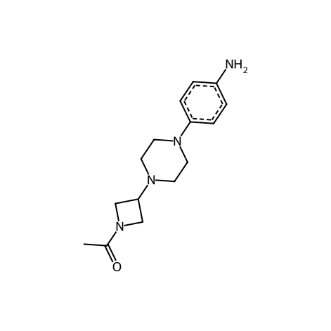 CC(=O)N1CC(N2CCN(c3ccc(N)cc3)CC2)C1